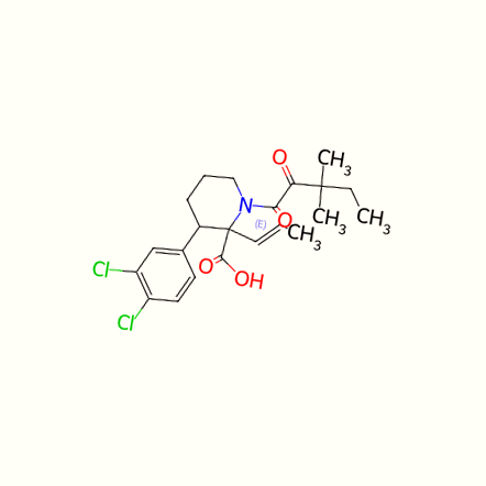 C/C=C/C1(C(=O)O)C(c2ccc(Cl)c(Cl)c2)CCCN1C(=O)C(=O)C(C)(C)CC